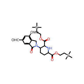 COc1cc(C=O)cc2c1CN(C1CCC(C(=O)OCC[Si](C)(C)C)NC1C(=O)OCC[Si](C)(C)C)C2=O